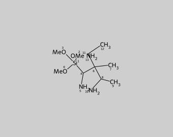 CO[Si](OC)(OC)C(N)C(C)(C(C)N)C(C)N